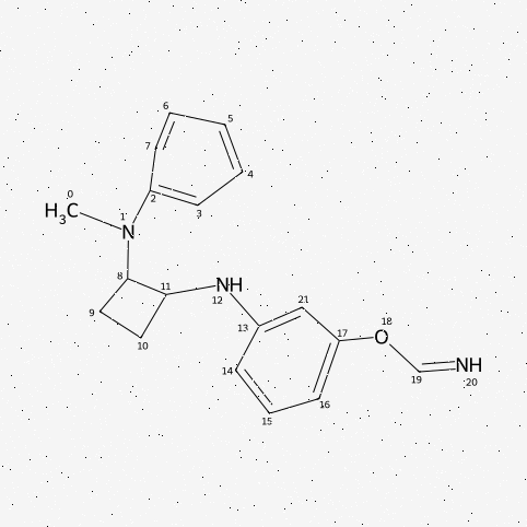 CN(c1ccccc1)C1CCC1Nc1cccc(OC=N)c1